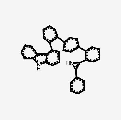 c1ccc(C2=C(c3ccccc3-c3ccc(-c4ccccc4-c4cccc5[nH]c6ccccc6c45)cc3)N2)cc1